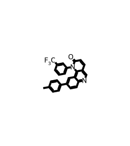 Cc1ccc(-c2ccc3ncc4ccc(=O)n(-c5cccc(C(F)(F)F)c5)c4c3c2)cc1